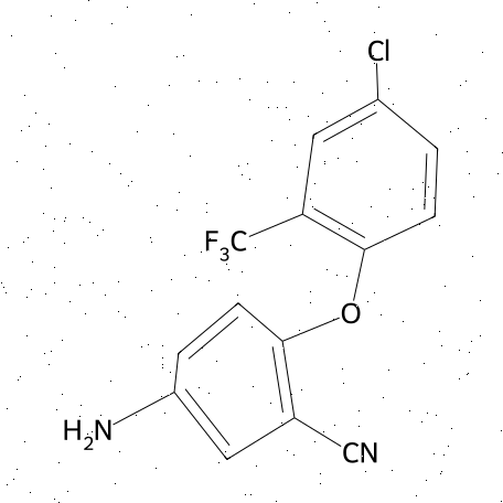 N#Cc1cc(N)ccc1Oc1ccc(Cl)cc1C(F)(F)F